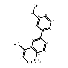 C/N=C(/N)c1cc(-c2cncc(CO)c2)ccc1N